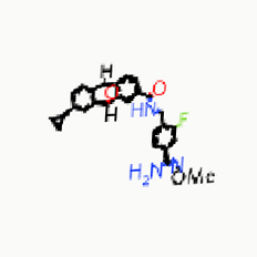 CON=C(N)c1ccc(CNC(=O)c2ccc3c(c2)[C@@H]2O[C@H]3c3ccc(C4CC4)cc32)c(F)c1